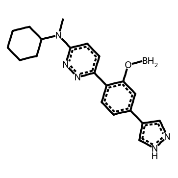 BOc1cc(-c2cn[nH]c2)ccc1-c1ccc(N(C)C2CCCCC2)nn1